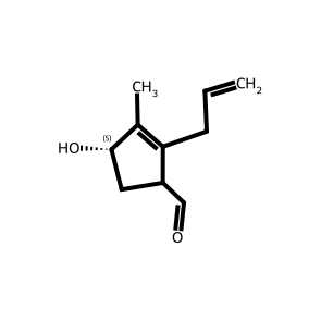 C=CCC1=C(C)[C@@H](O)CC1C=O